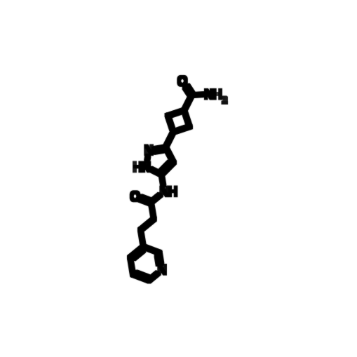 NC(=O)C1CC(c2cc(NC(=O)CCc3cccnc3)[nH]n2)C1